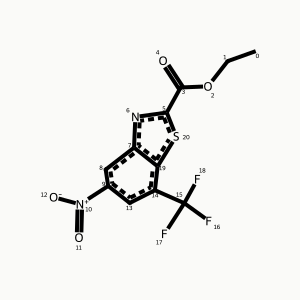 CCOC(=O)c1nc2cc([N+](=O)[O-])cc(C(F)(F)F)c2s1